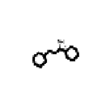 P[C@@H](CCC1CCCCC1)C1CCCCC1